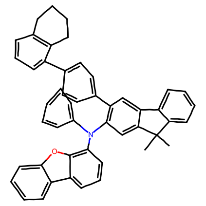 CC1(C)c2ccccc2-c2cc(-c3ccc(-c4cccc5c4CCCC5)cc3)c(N(c3ccccc3)c3cccc4c3oc3ccccc34)cc21